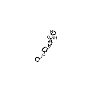 O=C(Nc1cccnc1)N1CCN(Cc2cccc(OCCc3ccccc3)c2)CC1